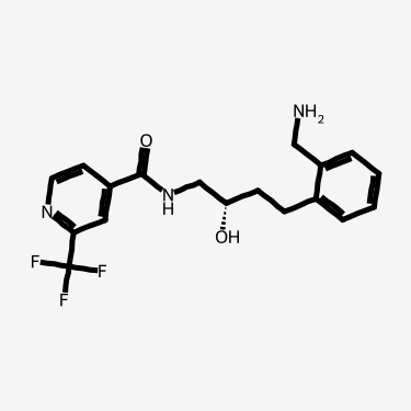 NCc1ccccc1CC[C@H](O)CNC(=O)c1ccnc(C(F)(F)F)c1